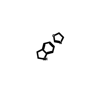 C1=NCCO1.c1ccc2c(c1)CCN2